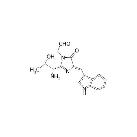 CC(O)C(N)C1=N/C(=C\c2c[nH]c3ccccc23)C(=O)N1CC=O